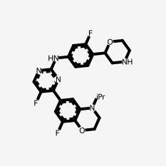 CC(C)N1CCOc2c(F)cc(-c3nc(Nc4ccc(C5CNCCO5)c(F)c4)ncc3F)cc21